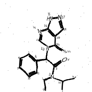 CCN(C(=O)C(c1ccccc1)n1cnc2[nH]ncc2c1=S)C(C)C